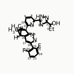 CCC(O)c1n[nH]c(-c2cccc([C@@]34CC[C@@H](c5cc(-c6c(F)cccc6F)nnc53)C4(C)C)n2)n1